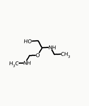 CCNC(CO)OCNC